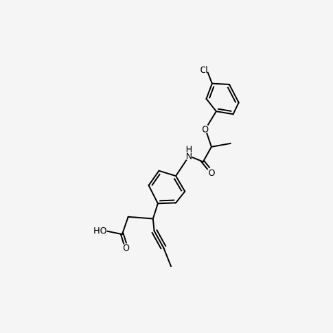 CC#CC(CC(=O)O)c1ccc(NC(=O)C(C)Oc2cccc(Cl)c2)cc1